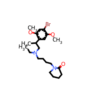 CCN(CCCCN1CCCCC1=O)CC(C)c1cc(OC)c(Br)cc1OC